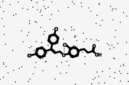 O=C(O)CCc1ccc(OCC=C(c2ccc(Cl)cc2)c2ccc(Cl)cc2)c(Cl)c1